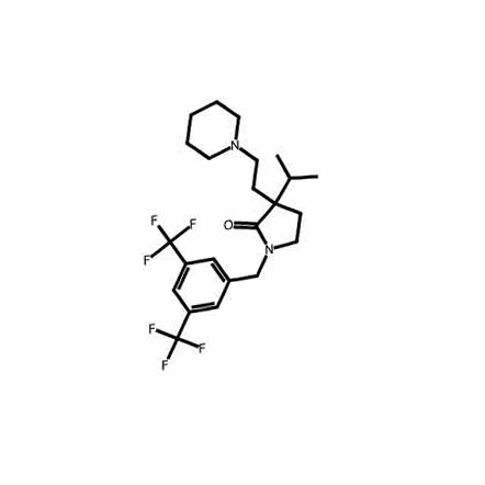 CC(C)C1(CCN2CCCCC2)CCN(Cc2cc(C(F)(F)F)cc(C(F)(F)F)c2)C1=O